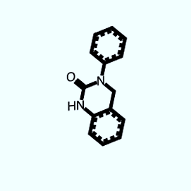 O=C1Nc2ccccc2CN1c1ccccc1